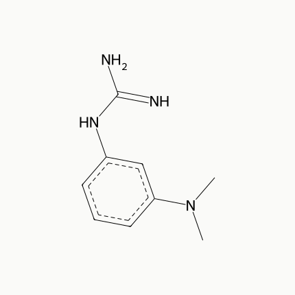 CN(C)c1cccc(NC(=N)N)c1